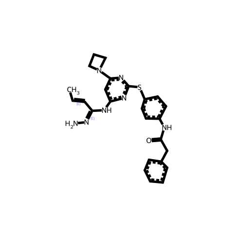 C/C=C/C(=N\N)Nc1cc(N2CCC2)nc(Sc2ccc(NC(=O)Cc3ccccc3)cc2)n1